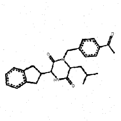 CC(=O)c1ccc(CN2C(=O)C(C3Cc4ccccc4C3)NC(=O)C2CC(C)C)cc1